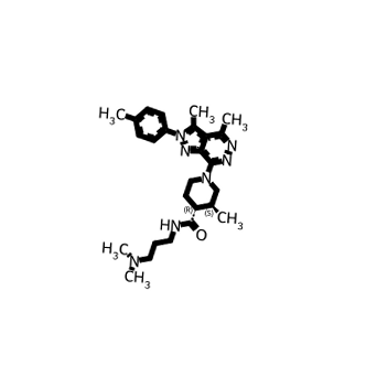 Cc1ccc(-n2nc3c(N4CC[C@@H](C(=O)NCCCN(C)C)[C@H](C)C4)nnc(C)c3c2C)cc1